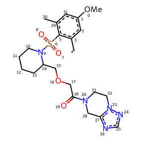 COc1cc(C)c(S(=O)(=O)N2CCCCC2COCC(=O)N2CCn3ncnc3C2)c(C)c1